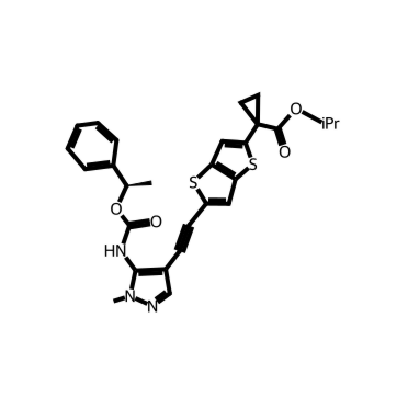 CC(C)OC(=O)C1(c2cc3sc(C#Cc4cnn(C)c4NC(=O)O[C@H](C)c4ccccc4)cc3s2)CC1